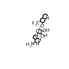 Nc1ncnc2c1ccn2[C@@H]1O[C@H](COc2cc3ncccc3cc2C(F)(F)F)[C@@H](O)[C@H]1O